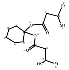 CCC(S)CC(=O)OC1(OC(=O)CC(S)CC)CCCCC1